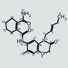 CC/C=C/CN1C(=O)COc2cc(I)c(NC(=O)C3=C(C(N)=O)CCCC3)cc21